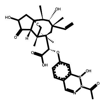 C=C[C@]1(C)C[C@@H]([C@H](Oc2ccc3c(c2)B(O)N(C(C)=O)N=C3)C(=O)O)[C@@]2(C)[C@H](C)CC[C@]3(CC(O)C(=O)[C@H]32)[C@@H](C)[C@@H]1O